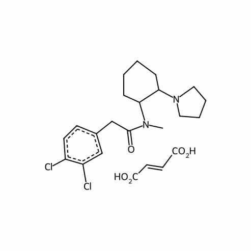 CN(C(=O)Cc1ccc(Cl)c(Cl)c1)C1CCCCC1N1CCCC1.O=C(O)C=CC(=O)O